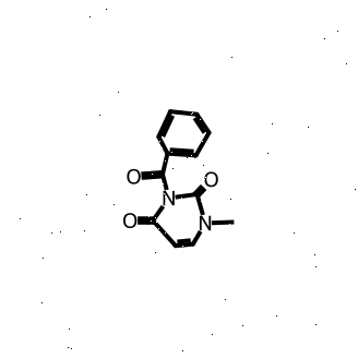 Cn1ccc(=O)n(C(=O)c2ccccc2)c1=O